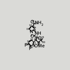 COc1c([C@H]2[C@H](C(=O)Nc3cc(C(N)=O)ccn3)OC(C)(C)[C@H]2C)ccc(F)c1F